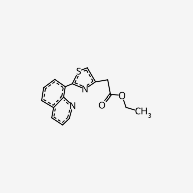 CCOC(=O)Cc1csc(-c2cccc3cccnc23)n1